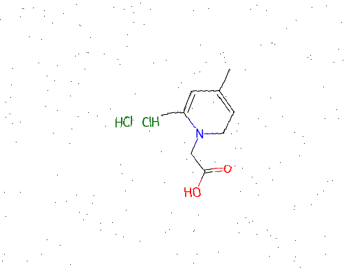 CC1=CCN(CC(=O)O)C(C)=C1.Cl.Cl